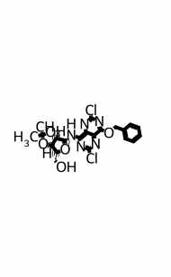 CC1(C)O[C@@H]2[C@H](O1)[C@@H](CO)O[C@H]2Nc1nc(Cl)nc2c(OCc3ccccc3)nc(Cl)nc12